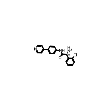 N[C@H](C(=O)Nc1ccc(-c2ccncc2)cc1)c1ccccc1Cl